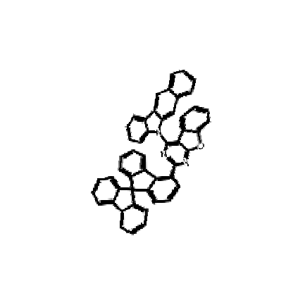 c1ccc2c(c1)-c1ccccc1C21c2ccccc2-c2c(-c3nc(-n4c5ccccc5c5cc6ccccc6cc54)c4c(n3)oc3ccccc34)cccc21